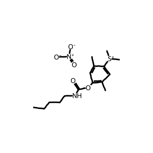 CCCCCNC(=O)Oc1cc(C)c([S+](C)C)cc1C.O=[N+]([O-])[O-]